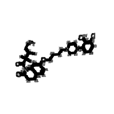 CC(C)CC(C)C(C)(C)C(=O)N1C(=O)CCc2ccc(OCCCCN3CCN(c4cccc(Cl)c4Cl)CC3)cc21